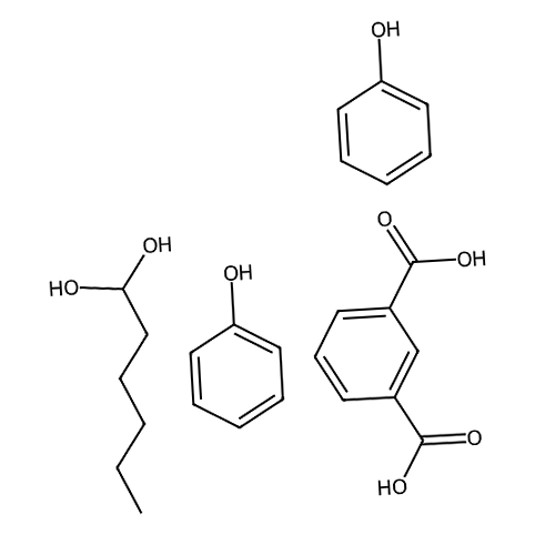 CCCCCC(O)O.O=C(O)c1cccc(C(=O)O)c1.Oc1ccccc1.Oc1ccccc1